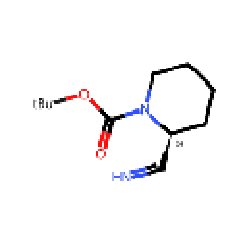 CC(C)(C)OC(=O)N1CCCC[C@H]1C=N